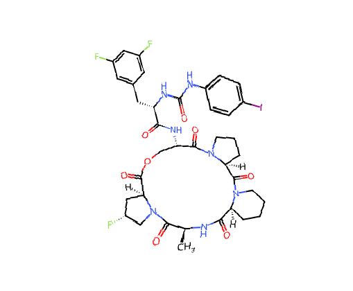 C[C@@H]1NC(=O)[C@@H]2CCCCN2C(=O)[C@@H]2CCCN2C(=O)[C@@H](NC(=O)[C@H](Cc2cc(F)cc(F)c2)NC(=O)Nc2ccc(I)cc2)COC(=O)[C@@H]2C[C@@H](F)CN2C1=O